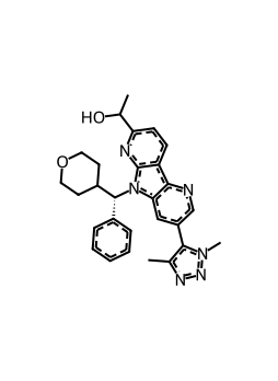 Cc1nnn(C)c1-c1cnc2c3ccc(C(C)O)nc3n([C@H](c3ccccc3)C3CCOCC3)c2c1